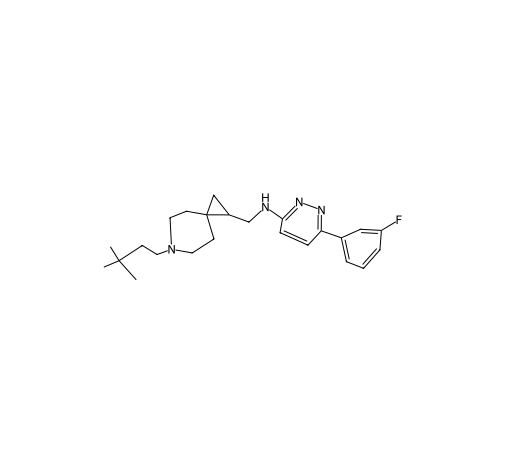 CC(C)(C)CCN1CCC2(CC1)CC2CNc1ccc(-c2cccc(F)c2)nn1